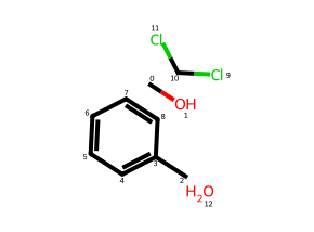 CO.Cc1ccccc1.ClCCl.O